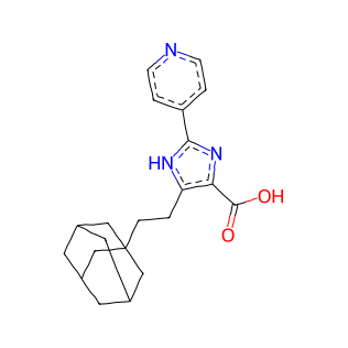 O=C(O)c1nc(-c2ccncc2)[nH]c1CCC12CC3CC(CC(C3)C1)C2